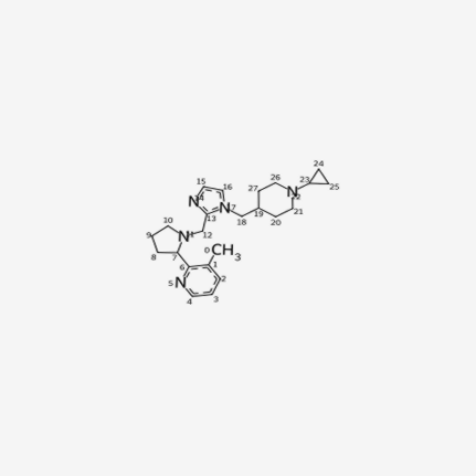 Cc1cccnc1C1CCCN1Cc1nccn1CC1CCN(C2CC2)CC1